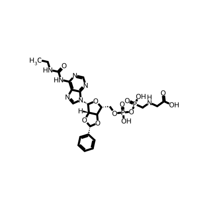 CCNC(=O)Nc1ncnc2c1ncn2[C@@H]1O[C@H](COP(=O)(O)OP(=O)(O)CNCC(=O)O)C2O[C@H](c3ccccc3)O[C@@H]21